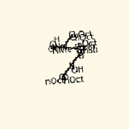 CCCCCCCCC(CCCCCCCC)OC(=O)CCCCCCCN(CCO)CCCCCCCC(=O)OCCC(CCCC)C(CCC)CCC(CCCCCCCC)OC(=O)CCCCCCCN(CCCCCCCC(=O)OC(CCCCCCCC)CCCCCCCC)CCCNc1c(NC)c(=O)c1=O